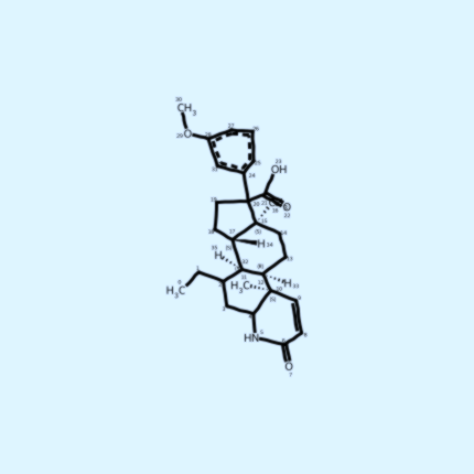 CCC1CC2NC(=O)C=C[C@]2(C)[C@@H]2CC[C@@]3(C)[C@@H](CCC3(C(=O)O)c3cccc(OC)c3)[C@H]12